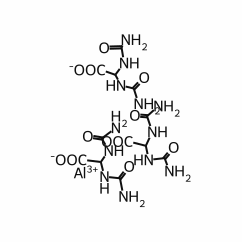 NC(=O)NC(NC(N)=O)C(=O)[O-].NC(=O)NC(NC(N)=O)C(=O)[O-].NC(=O)NC(NC(N)=O)C(=O)[O-].[Al+3]